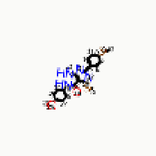 CNc1nc(-c2ccc(SC)cc2)nc(SC)c1C(=O)Nc1ccc(OC)cc1